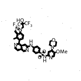 COc1cnc(NS(=O)(=O)c2ccc(Nc3cc4c(-c5ccc6c(cnn6CC(O)(C(F)(F)F)C(F)(F)F)c5C)nccc4cn3)cc2)cc1N1CCOCC1